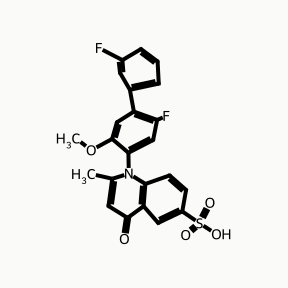 COc1cc(-c2cccc(F)c2)c(F)cc1-n1c(C)cc(=O)c2cc(S(=O)(=O)O)ccc21